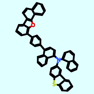 c1ccc2c(N(c3ccc4sc5ccccc5c4c3)c3ccc(-c4ccc(-c5cccc6c5oc5c7ccccc7ccc65)cc4)c4ccccc34)cccc2c1